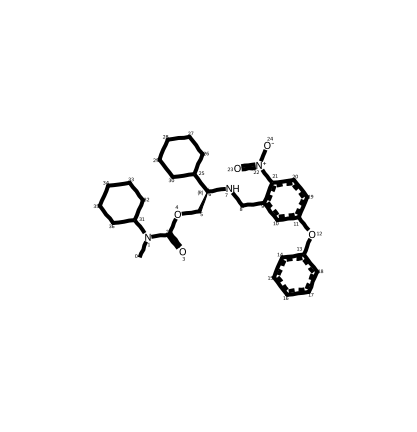 CN(C(=O)OC[C@H](NCc1cc(Oc2ccccc2)ccc1[N+](=O)[O-])C1CCCCC1)C1CCCCC1